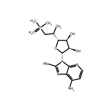 C=P(C)(C)CC(C)[C@H]1O[C@@H](n2c(CCCC)nc3c(N)ccnc32)[C@H](O)[C@@H]1O